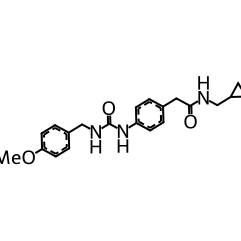 COc1ccc(CNC(=O)Nc2ccc(CC(=O)NCC3CC3)cc2)cc1